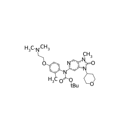 Cc1cc(OCCN(C)C)ccc1N(C(=O)OC(C)(C)C)c1cc2c(cn1)n(C)c(=O)n2C1CCOCC1